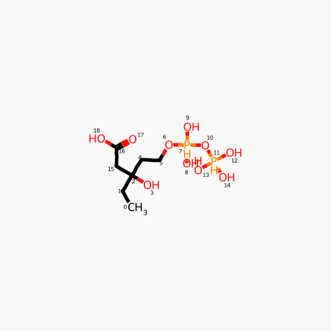 CCC(O)(CCO[PH](O)(O)O[PH](O)(O)O)CC(=O)O